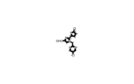 O=Cc1cn(Cc2ncc(Cl)cn2)c(-c2ccc(Cl)s2)n1